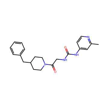 Cc1cc(NC(=O)NCC(=O)N2CCC(Cc3ccccc3)CC2)ccn1